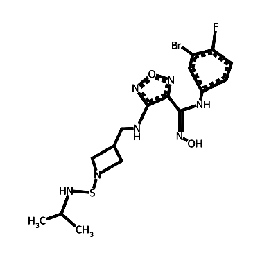 CC(C)NSN1CC(CNc2nonc2/C(=N/O)Nc2ccc(F)c(Br)c2)C1